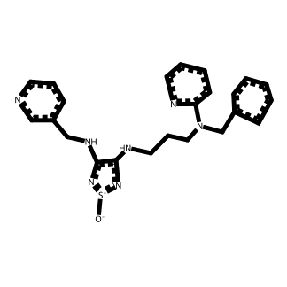 [O-][s+]1nc(NCCCN(Cc2ccccc2)c2ccccn2)c(NCc2cccnc2)n1